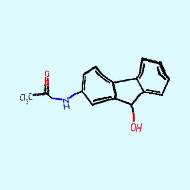 O=C(Nc1ccc2c(c1)C(O)c1ccccc1-2)C(Cl)(Cl)Cl